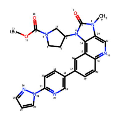 Cn1c(=O)n(C2CCN(C(=O)OC(C)(C)C)C2)c2c3cc(-c4ccc(-n5cccn5)nc4)ccc3ncc21